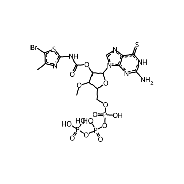 COC1C(COP(=O)(O)OP(=O)(O)OP(=O)(O)O)OC(n2cnc3c(=S)[nH]c(N)nc32)C1OC(=O)Nc1nc(C)c(Br)s1